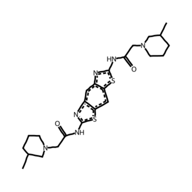 CC1CCCN(CC(=O)Nc2nc3cc4nc(NC(=O)CN5CCCC(C)C5)sc4cc3s2)C1